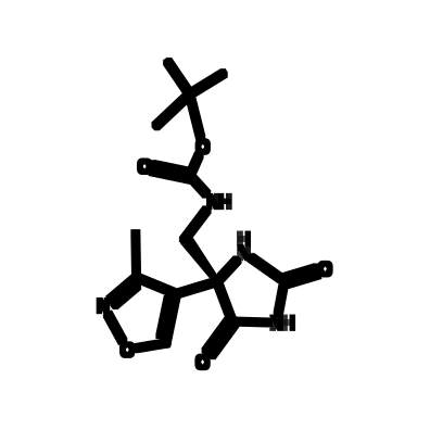 Cc1nocc1[C@]1(CNC(=O)OC(C)(C)C)NC(=O)NC1=O